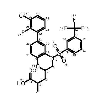 CC(CC1CN(S(=O)(=O)c2cccc(C(F)(F)F)c2)c2cc(-c3cccc(Cl)c3F)ccc2O1)C(=O)O